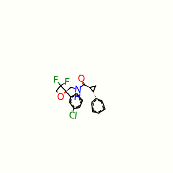 O=C(NC[C@@]1(c2cccc(Cl)c2)OCC1(F)F)[C@H]1C[C@@H]1c1ccccc1